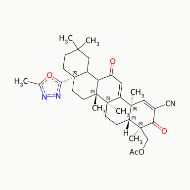 CC(=O)OC[C@]1(C)C(=O)C(C#N)=C[C@]2(C)C3=CC(=O)C4C5CC(C)(C)CC[C@]5(c5nnc(C)o5)CC[C@@]4(C)[C@]3(C)CC[C@H]21